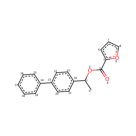 CC(OC(=O)c1ccco1)c1ccc(-c2ccccc2)cc1